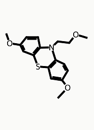 COCCN1c2ccc(OC)cc2Sc2cc(OC)ccc21